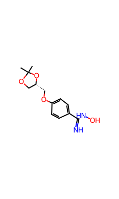 CC1(C)OC[C@@H](COc2ccc(C(=N)NO)cc2)O1